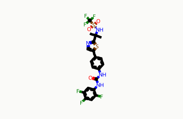 CC(C)(NS(=O)(=O)C(F)(F)F)c1ncc(-c2ccc(NC(=O)Nc3cc(F)c(F)cc3F)cc2)s1